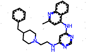 Cc1cc(Nc2cc(NCCN3CCC(Cc4ccccc4)CC3)ncn2)c2ccccc2n1